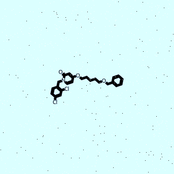 O=c1cc(OCCCCCOCc2ccccc2)ccn1Cc1ccc(Cl)cc1Cl